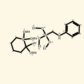 CCCC1(OC)CCCC[Si]1(OC)OC.CCO[Si](CNc1ccccc1)(OCC)OCC